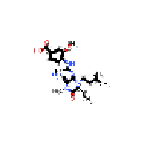 C=C(/N=C1\C(=C/N)N(C)C(=O)[C@@H](CC)N1CCC(C)C)Nc1ccc(C(=O)O)cc1OC